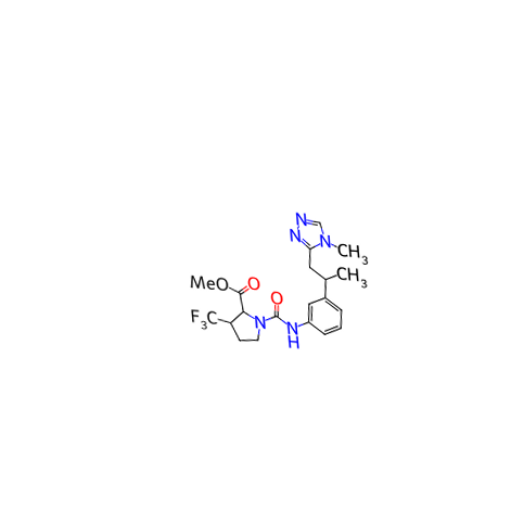 COC(=O)C1C(C(F)(F)F)CCN1C(=O)Nc1cccc(C(C)Cc2nncn2C)c1